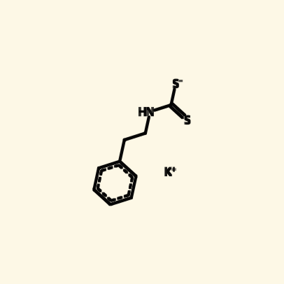 S=C([S-])NCCc1ccccc1.[K+]